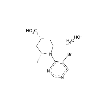 C[C@@H]1C[C@H](C(=O)O)CCN1c1ncncc1Br.O.[Li+].[OH-]